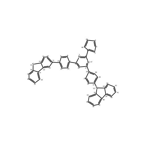 c1ccc(-c2nc(-c3ccc(-c4ccc5sc6ccccc6c5c4)cc3)cc(-c3ccc(-n4c5ccccc5c5ccccc54)cc3)n2)cc1